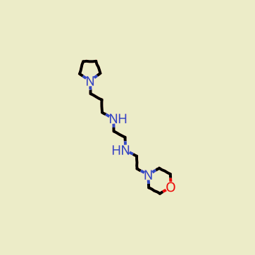 C1CCN(CCCNCCNCCN2CCOCC2)C1